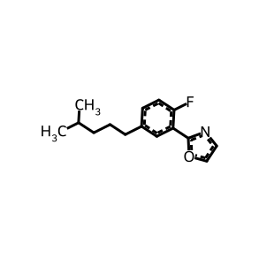 CC(C)CCCc1ccc(F)c(-c2ncco2)c1